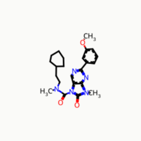 COc1cccc(-c2ncc3c(n2)n(C)c(=O)n3C(=O)N(C)CCC2CCCCC2)c1